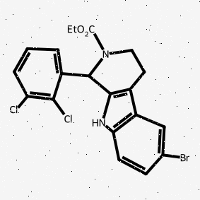 CCOC(=O)N1CCc2c([nH]c3ccc(Br)cc23)C1c1cccc(Cl)c1Cl